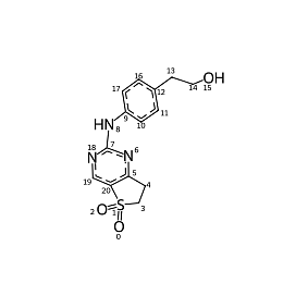 O=S1(=O)CCc2nc(Nc3ccc(CCO)cc3)ncc21